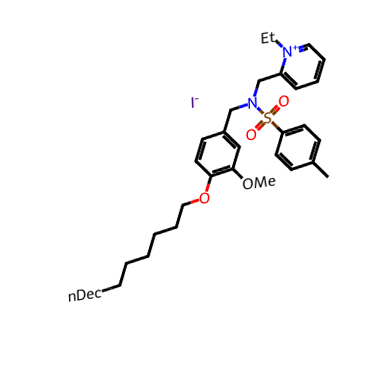 CCCCCCCCCCCCCCCCOc1ccc(CN(Cc2cccc[n+]2CC)S(=O)(=O)c2ccc(C)cc2)cc1OC.[I-]